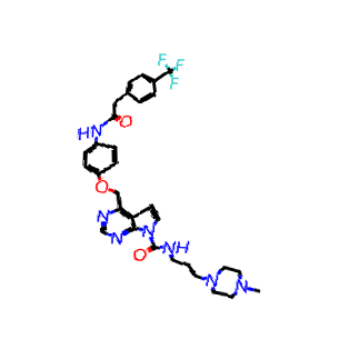 CN1CCN(CCCNC(=O)n2ccc3c(COc4ccc(NC(=O)Cc5ccc(C(F)(F)F)cc5)cc4)ncnc32)CC1